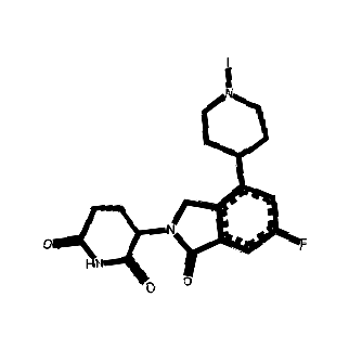 O=C1CCC(N2Cc3c(cc(F)cc3C3CCN(I)CC3)C2=O)C(=O)N1